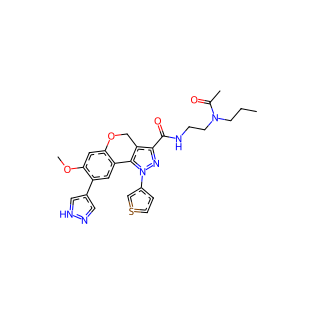 CCCN(CCNC(=O)c1nn(-c2ccsc2)c2c1COc1cc(OC)c(-c3cn[nH]c3)cc1-2)C(C)=O